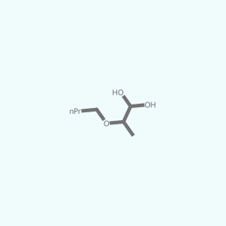 CCCCOC(C)C(O)O